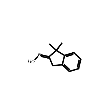 CC1(C)C(=NO)Cc2ccccc21